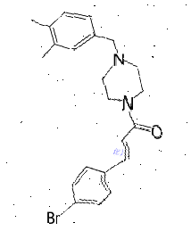 Cc1ccc(CN2CCN(C(=O)/C=C/c3ccc(Br)cc3)CC2)cc1C